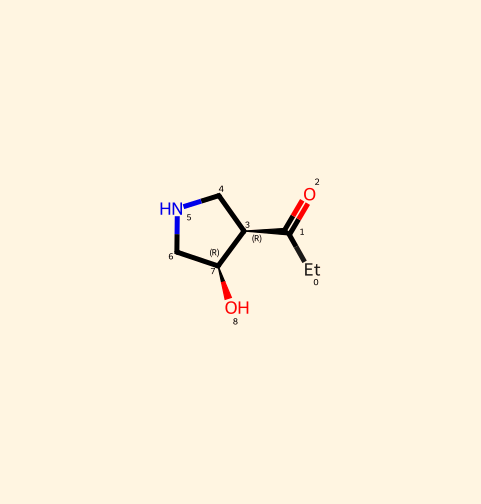 CCC(=O)[C@@H]1CNC[C@@H]1O